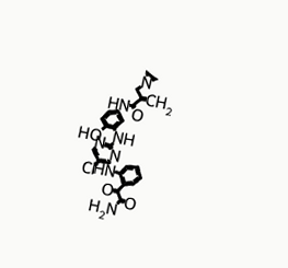 C=C(CN1CC1)C(=O)Nc1ccc(O)c(Nc2ncc(Cl)c(Nc3ccccc3C(=O)C(N)=O)n2)c1